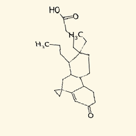 CCCC1C2CC3(CC3)C3=CC(=O)CCC3C2CCC1(CC)CCCC(=O)O